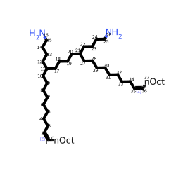 CCCCCCCC/C=C\CCCCCCCCC(CCCCN)CCCCC(CCCCN)CCCCCCCC/C=C\CCCCCCCC